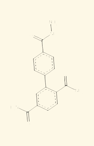 NNC(=O)c1ccc(-c2cc(C(N)=O)ccc2C(N)=O)cc1